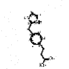 O=C(O)CCc1ccc(Cc2ncc[nH]2)cc1